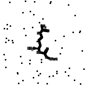 CCCCCOC(=O)N[C@H](CCCNC(N)=O)C(=O)O